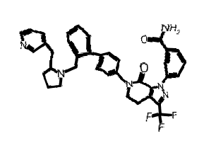 NC(=O)c1cccc(-n2nc(C(F)(F)F)c3c2C(=O)N(c2ccc(-c4ccccc4CN4CCCC4Cc4cccnc4)cc2)CC3)c1